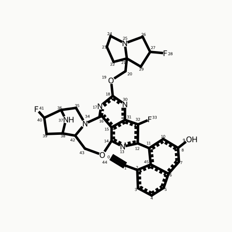 C#Cc1cccc2cc(O)cc(-c3nc4c5c(nc(OCC67CCCN6CC(F)C7)nc5c3F)N3CC5NC(CC5F)C3CO4)c12